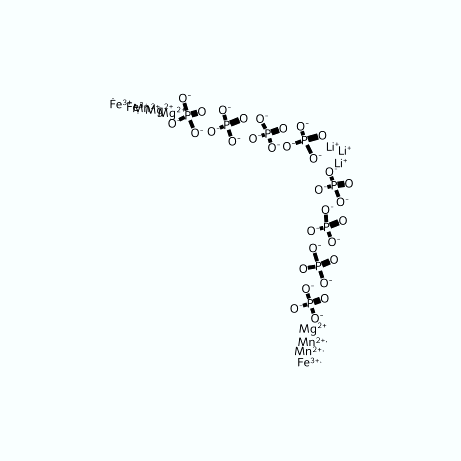 O=P([O-])([O-])[O-].O=P([O-])([O-])[O-].O=P([O-])([O-])[O-].O=P([O-])([O-])[O-].O=P([O-])([O-])[O-].O=P([O-])([O-])[O-].O=P([O-])([O-])[O-].O=P([O-])([O-])[O-].[Fe+3].[Fe+3].[Fe+3].[Li+].[Li+].[Li+].[Mg+2].[Mg+2].[Mg+2].[Mn+2].[Mn+2].[Mn+2]